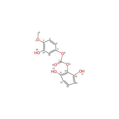 COc1ccc(OC(=O)Oc2c(O)cccc2O)cc1O